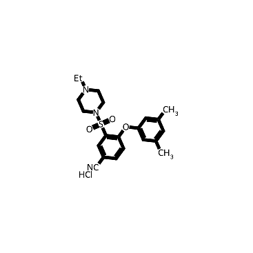 CCN1CCN(S(=O)(=O)c2cc(C#N)ccc2Oc2cc(C)cc(C)c2)CC1.Cl